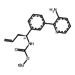 C=CC[C@H](NC(=O)OC(C)(C)C)c1cccc(-c2ncccc2N)c1